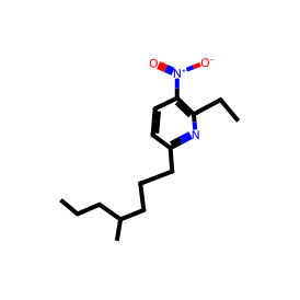 CCCC(C)CCCc1ccc([N+](=O)[O-])c(CC)n1